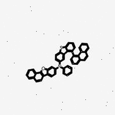 c1ccc(N(c2ccc3c(c2)oc2c4ccccc4ccc32)c2ccc3sc4cccc(-c5cccc6ccc7ccccc7c56)c4c3c2)cc1